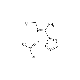 CCN=C(N)n1cccn1.O=[N+]([O-])O